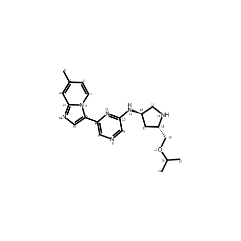 Cc1ccn2c(-c3cncc(N[C@H]4CN[C@H](COC(C)C)C4)n3)cnc2c1